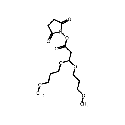 COCCCOC(CC(=O)ON1C(=O)CCC1=O)OCCCOC